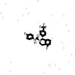 O=C(Nc1ccc(F)cc1)N1CCc2c(F)cccc2[C@H]1c1ccc(C(F)(F)F)cc1